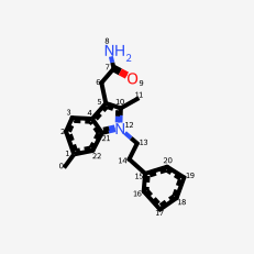 Cc1ccc2c(CC(N)=O)c(C)n(CCc3ccccc3)c2c1